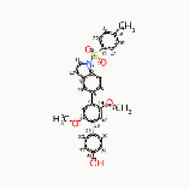 COc1cc(-c2ccc3c(ccn3S(=O)(=O)c3ccc(C)cc3)c2)c(OC)cc1-c1ccc(O)cc1